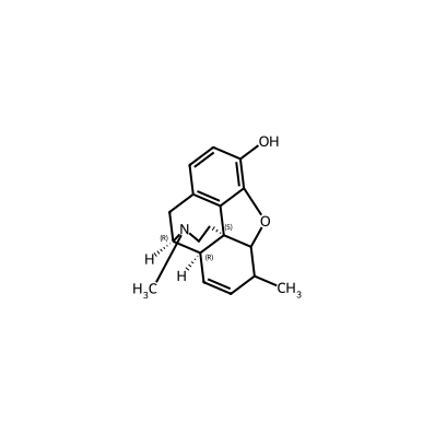 CC1C=C[C@H]2[C@H]3Cc4ccc(O)c5c4[C@@]2(CCN3C)C1O5